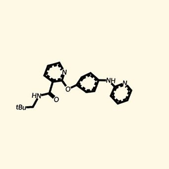 CC(C)(C)CNC(=O)c1cccnc1Oc1ccc(Nc2ccccn2)cc1